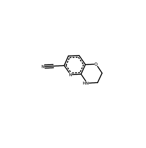 N#Cc1ccc2c(n1)NCCO2